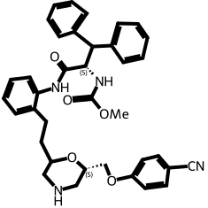 COC(=O)N[C@H](C(=O)Nc1ccccc1CCC1CNC[C@@H](COc2ccc(C#N)cc2)O1)C(c1ccccc1)c1ccccc1